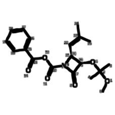 COC(C)(C)O[C@H]1C(=O)N(C(=O)OC(=O)c2ccccc2)[C@H]1C=C(C)C